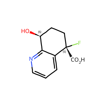 O=C(O)[C@]1(F)CC[C@H](O)c2ncccc21